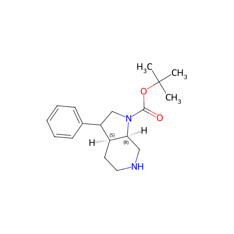 CC(C)(C)OC(=O)N1CC(c2ccccc2)[C@@H]2CCNC[C@@H]21